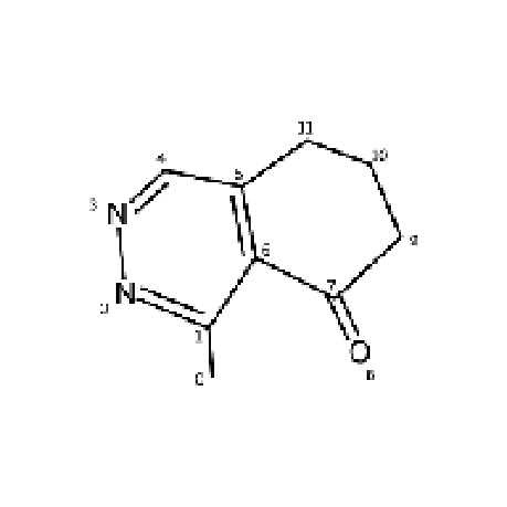 Cc1nncc2c1C(=O)CCC2